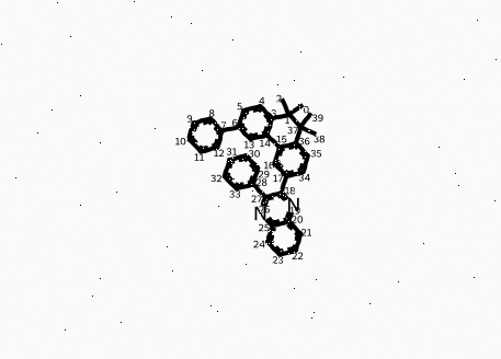 CC1(C)c2ccc(-c3ccccc3)cc2-c2cc(-c3nc4ccccc4nc3-c3ccccc3)ccc2C1(C)C